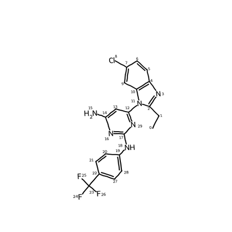 CCc1nc2ccc(Cl)cc2n1-c1cc(N)nc(Nc2ccc(C(F)(F)F)cc2)n1